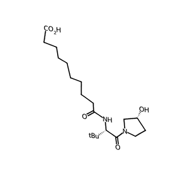 CC(C)(C)[C@H](NC(=O)CCCCCCCCC(=O)O)C(=O)N1CC[C@@H](O)C1